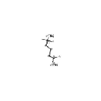 C[C@H](CCCC(C)(C)O)C(C)(C)C